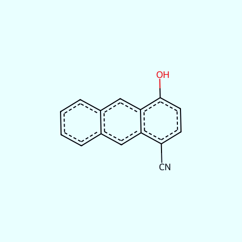 N#Cc1ccc(O)c2cc3ccccc3cc12